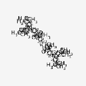 Cc1cc(-c2ccc(N3C(=O)c4ccc(-n5c6ccc(C(C)(C)C)cc6c6cc(C(C)(C)C)ccc65)cc4C3=O)c(C)c2)ccc1N1C(=O)c2ccc(-n3c4ccc(C(C)(C)C)cc4c4cc(C(C)(C)C)ccc43)cc2C1=O